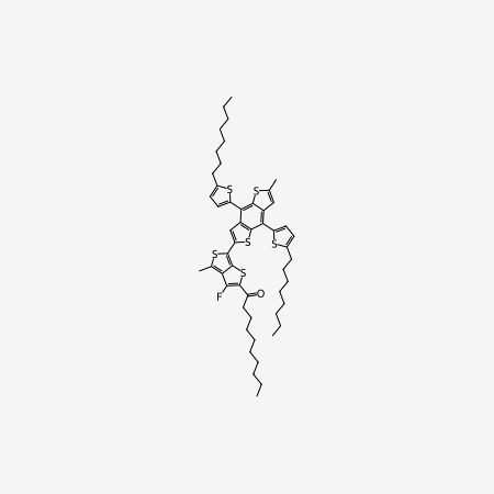 CCCCCCCCCC(=O)c1sc2c(-c3cc4c(-c5ccc(CCCCCCCC)s5)c5sc(C)cc5c(-c5ccc(CCCCCCCC)s5)c4s3)sc(C)c2c1F